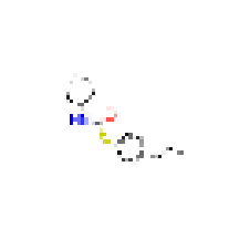 CC[C@H](C)c1ccc(SC(=O)NC2CCCCC2)cc1